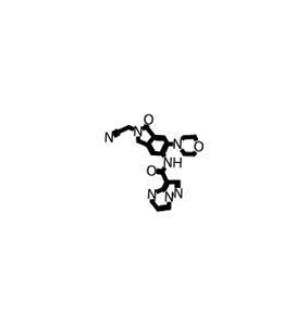 N#CCN1Cc2cc(NC(=O)c3cnn4cccnc34)c(N3CCOCC3)cc2C1=O